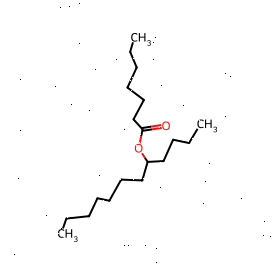 CCCCCCCC(CCCC)OC(=O)CCCCCC